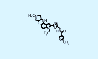 Cc1cc(C(=O)NCc2nc(-c3cc4c(N[C@@H]5CCN(C)C[C@@H]5F)cccc4n3CC(F)(F)F)no2)cs1